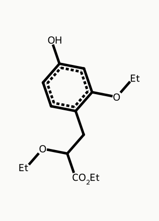 CCOC(=O)C(Cc1ccc(O)cc1OCC)OCC